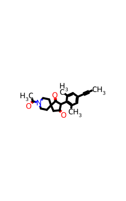 CC#Cc1cc(C)c(C2C(=O)CC3(CCN(C(C)=O)CC3)C2=O)c(C)c1